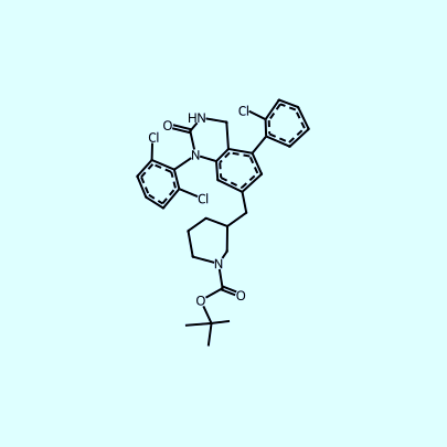 CC(C)(C)OC(=O)N1CCCC(Cc2cc(-c3ccccc3Cl)c3c(c2)N(c2c(Cl)cccc2Cl)C(=O)NC3)C1